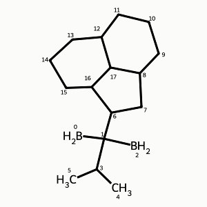 BC(B)(C(C)C)C1CC2CCCC3CCCC1C32